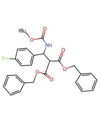 CC(C)(C)OC(=O)NC(c1ccc(F)cc1)C(C(=O)OCc1ccccc1)C(=O)OCc1ccccc1